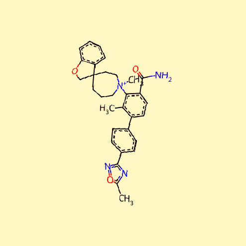 Cc1nc(-c2ccc(-c3ccc(C(N)=O)c([N+]4(C)CCCC5(CC4)COc4ccccc45)c3C)cc2)no1